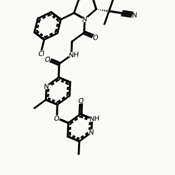 Cc1cc(Oc2ccc(C(=O)NCC(=O)N3C(c4cccc(Cl)c4)CC[C@@H]3C(C)(C)C#N)nc2C)c(=O)[nH]n1